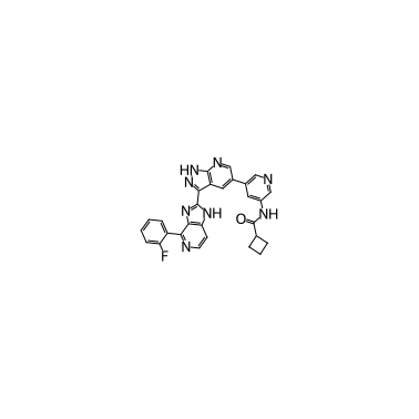 O=C(Nc1cncc(-c2cnc3[nH]nc(-c4nc5c(-c6ccccc6F)nccc5[nH]4)c3c2)c1)C1CCC1